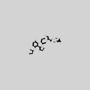 CC1(S(=O)(=O)NC(=O)c2cnc3ccc(N4CCC=C4c4cc(F)ccc4OC4CCOC4)cn23)CC1